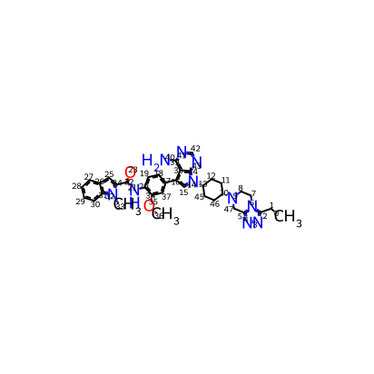 CCc1nnc2n1CCN([C@H]1CC[C@@H](n3cc(-c4ccc(NC(=O)c5cc6ccccc6n5C)c(OC)c4)c4c(N)ncnc43)CC1)C2